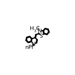 CCCN1C=CC(=CC2Sc3ccccc3N2C)c2ccccc21